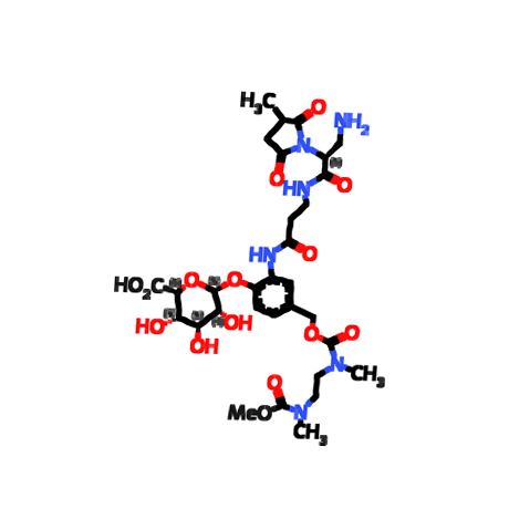 COC(=O)N(C)CCN(C)C(=O)OCc1ccc(O[C@@H]2O[C@H](C(=O)O)[C@@H](O)[C@H](O)[C@H]2O)c(NC(=O)CCNC(=O)[C@H](CN)N2C(=O)CC(C)C2=O)c1